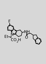 CCC(C(=O)O)n1c2c(c3cc(F)ccc31)CC(NC(=O)CC1Cc3ccccc3C1)CC2